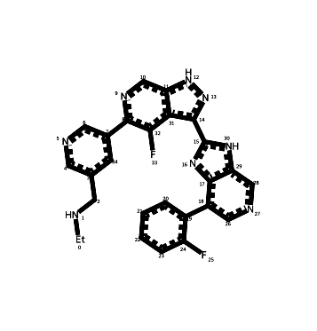 CCNCc1cncc(-c2ncc3[nH]nc(-c4nc5c(-c6ccccc6F)cncc5[nH]4)c3c2F)c1